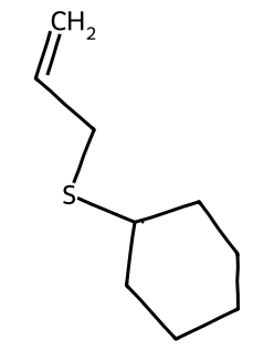 C=CCS[C]1CCCCC1